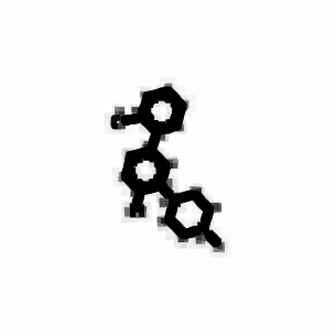 CCc1[c]cc(-c2ccccc2Cl)cc1N1CCN(C)CC1